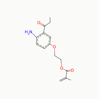 C=C(C)C(=O)OCCOc1ccc(N)c(C(=O)CC)c1